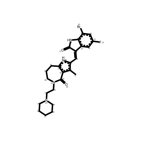 Cc1c(/C=C2\C(=O)Nc3c(Br)cc(F)cc32)[nH]c2c1C(=O)N(CCN1CCCCC1)CCC2